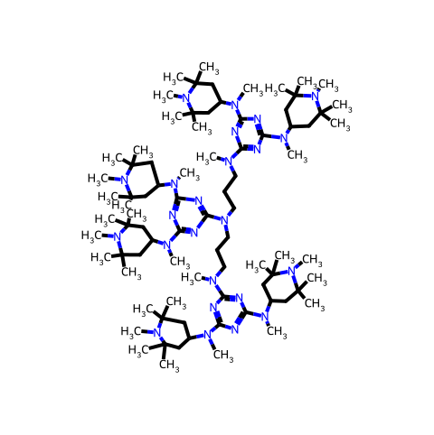 CN(CCCN(CCCN(C)c1nc(N(C)C2CC(C)(C)N(C)C(C)(C)C2)nc(N(C)C2CC(C)(C)N(C)C(C)(C)C2)n1)c1nc(N(C)C2CC(C)(C)N(C)C(C)(C)C2)nc(N(C)C2CC(C)(C)N(C)C(C)(C)C2)n1)c1nc(N(C)C2CC(C)(C)N(C)C(C)(C)C2)nc(N(C)C2CC(C)(C)N(C)C(C)(C)C2)n1